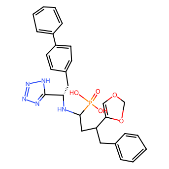 O=P(O)(O)C(CC(Cc1ccccc1)C1=COCO1)N[C@@H](Cc1ccc(-c2ccccc2)cc1)c1nnn[nH]1